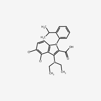 CCN(CC)c1c(C(=O)O)n(-c2ccccc2C(C)C)c2ccc(Cl)c(Cl)c12